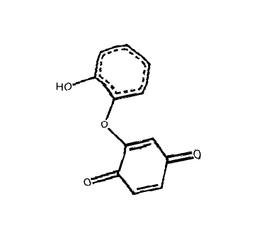 O=C1C=CC(=O)C(Oc2ccccc2O)=C1